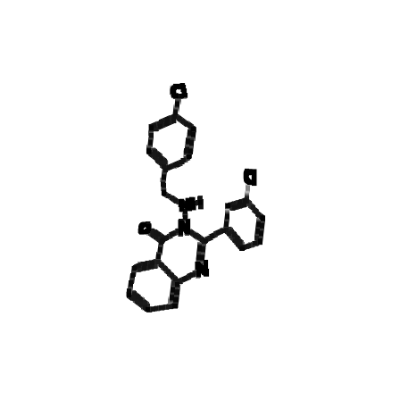 O=c1c2ccccc2nc(-c2cccc(Cl)c2)n1NCc1ccc(Cl)cc1